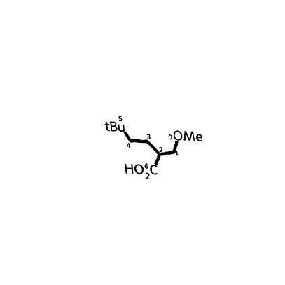 COCC(CCC(C)(C)C)C(=O)O